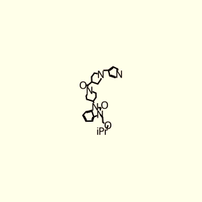 CC(C)OCCn1c(=O)n(C2CCN(C(=O)C3CCN(Cc4ccncc4)CC3)CC2)c2ccccc21